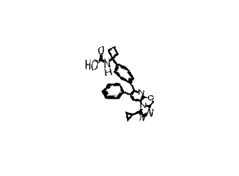 O=C(O)NC1(c2ccc(-c3nc4c(cc3-c3ccccc3)-n3c(nnc3C3CC3)CO4)cc2)CCC1